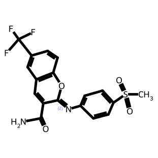 CS(=O)(=O)c1ccc(/N=c2\oc3ccc(C(F)(F)F)cc3cc2C(N)=O)cc1